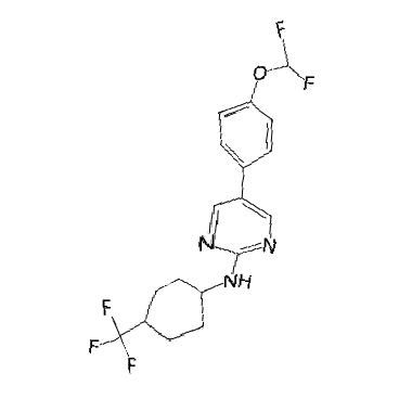 FC(F)Oc1ccc(-c2cnc(NC3CCC(C(F)(F)F)CC3)nc2)cc1